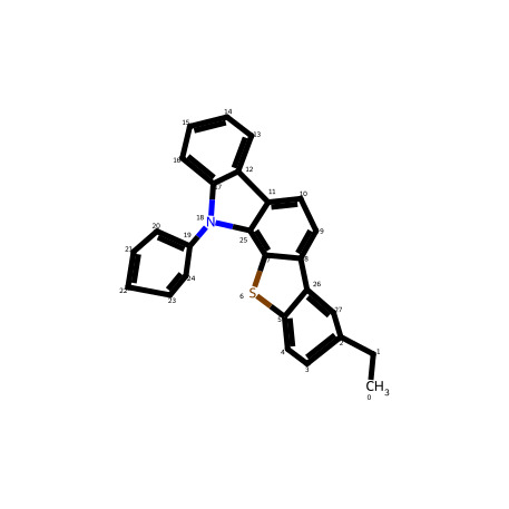 CCc1ccc2sc3c(ccc4c5ccccc5n(-c5ccccc5)c43)c2c1